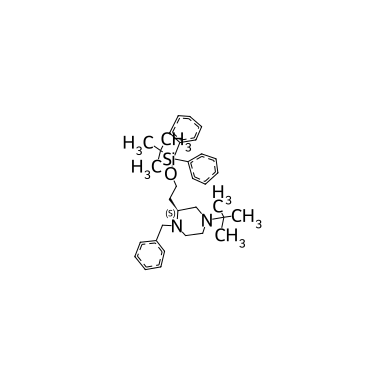 CC(C)(C)N1CCN(Cc2ccccc2)[C@@H](CCO[Si](c2ccccc2)(c2ccccc2)C(C)(C)C)C1